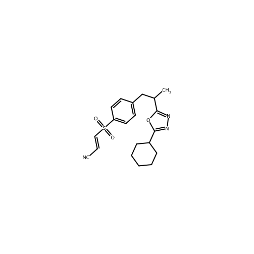 CC(Cc1ccc(S(=O)(=O)/C=C/C#N)cc1)c1nnc(C2CCCCC2)o1